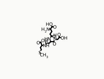 CSCCC(NSCC(NC(=O)CCC(N)C(=O)O)C(=O)NCC(=O)O)C(=O)O